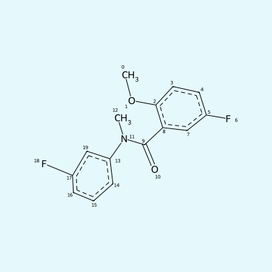 COc1ccc(F)cc1C(=O)N(C)c1cccc(F)c1